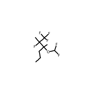 CCCC(C)(OC(F)F)C(C)(F)C(F)(F)F